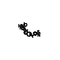 CC(=O)Nc1ncc(-c2ccc3c(n2)CCN(C(C)c2ccc4scnc4c2)CC3)s1